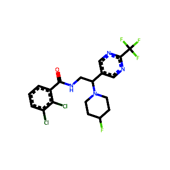 O=C(NCC(c1cnc(C(F)(F)F)nc1)N1CCC(F)CC1)c1cccc(Cl)c1Cl